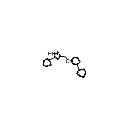 c1ccc(-c2cccc(OCc3cc(-c4ccccc4)[nH]n3)c2)cc1